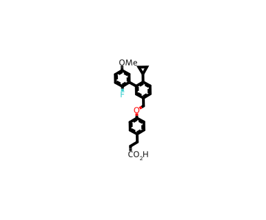 COc1ccc(F)c(-c2cc(COc3ccc(CCC(=O)O)cc3)ccc2C2CC2)c1